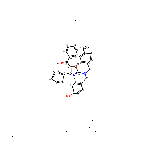 COc1ccc(CN(CC2=CCC(O)C=C2)c2nc(-c3ccccc3)c(C(=O)c3ccccc3)s2)cc1